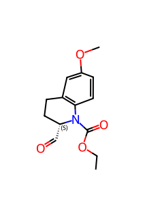 CCOC(=O)N1c2ccc(OC)cc2CC[C@H]1C=O